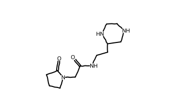 O=C(CN1CCCC1=O)NCCC1CNCCN1